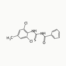 Cc1cc(Cl)c(NC(=S)NC(=O)c2ccccc2)c(Cl)c1